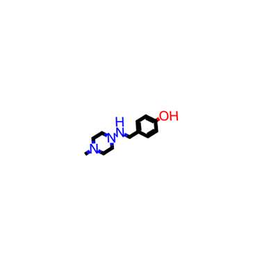 CN1CCN(NCc2ccc(O)cc2)CC1